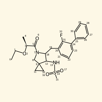 CCO[C@@H](C)C(=O)N1CC2(CC2)C(NS(C)(=O)=O)C1Cc1cccc(-c2ccccc2)c1F